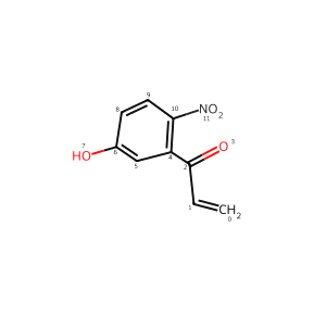 C=CC(=O)c1cc(O)ccc1[N+](=O)[O-]